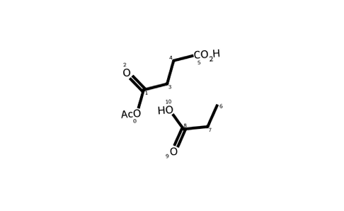 CC(=O)OC(=O)CCC(=O)O.CCC(=O)O